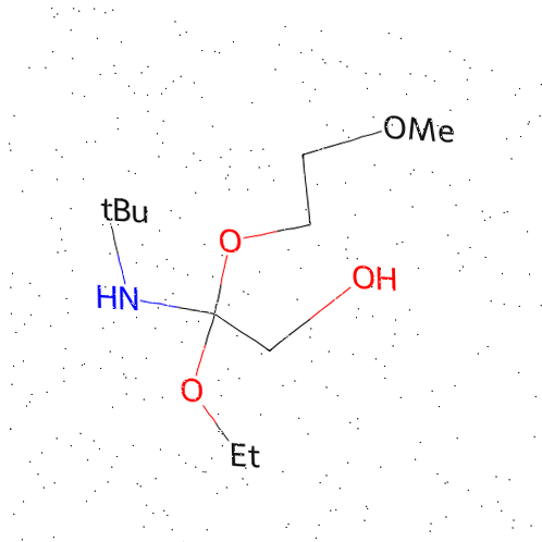 CCOC(CO)(NC(C)(C)C)OCCOC